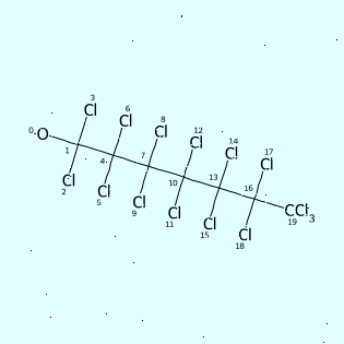 [O]C(Cl)(Cl)C(Cl)(Cl)C(Cl)(Cl)C(Cl)(Cl)C(Cl)(Cl)C(Cl)(Cl)C(Cl)(Cl)Cl